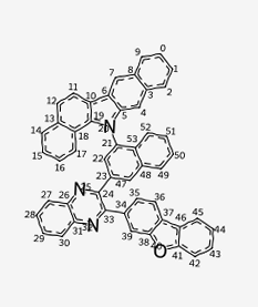 c1ccc2cc3c(cc2c1)c1ccc2ccccc2c1n3-c1cc(-c2nc3ccccc3nc2-c2ccc3c(c2)oc2ccccc23)cc2ccccc12